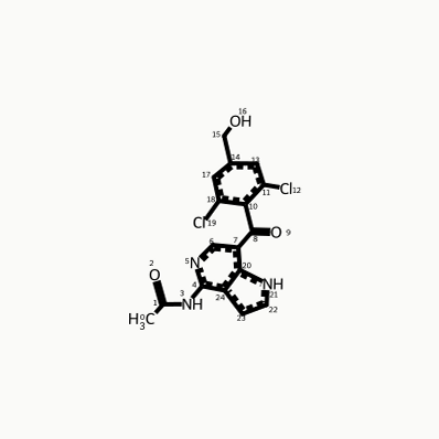 CC(=O)Nc1ncc(C(=O)c2c(Cl)cc(CO)cc2Cl)c2[nH]ccc12